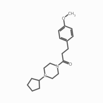 COc1ccc(CCC(=O)N2CCN(C3CCCC3)CC2)cc1